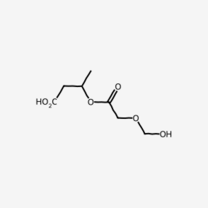 CC(CC(=O)O)OC(=O)COCO